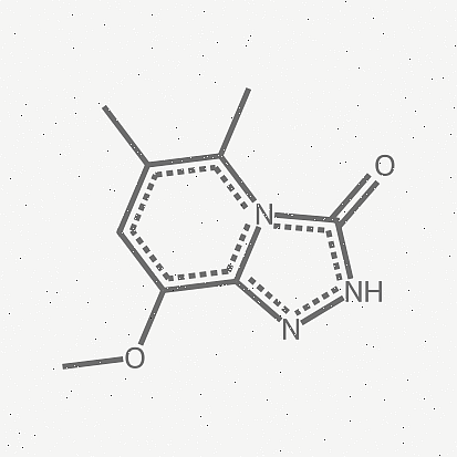 COc1cc(C)c(C)n2c(=O)[nH]nc12